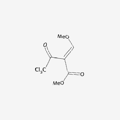 COC=C(C(=O)OC)C(=O)C(Cl)(Cl)Cl